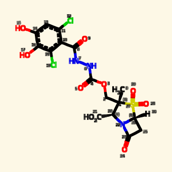 C[C@]1(COC(=O)NNC(=O)c2c(Cl)cc(O)c(O)c2Cl)[C@H](C(=O)O)N2C(=O)C[C@H]2S1(=O)=O